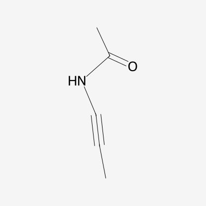 CC#CNC(C)=O